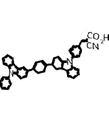 N#C/C(=C\c1ccc(N2C3=CC=C(C4=CC=C(c5ccc6c(c5)c5ccccc5n6-c5ccccc5)CC4)CC3c3ccccc32)cc1)C(=O)O